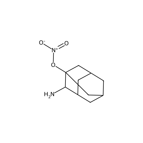 NC1C2CC3CC(C2)CC1(O[N+](=O)[O-])C3